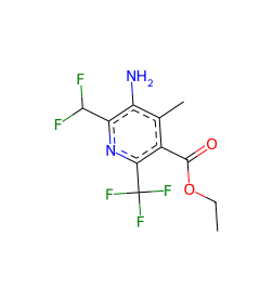 CCOC(=O)c1c(C(F)(F)F)nc(C(F)F)c(N)c1C